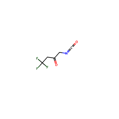 O=C=NCC(=O)CC(F)(F)F